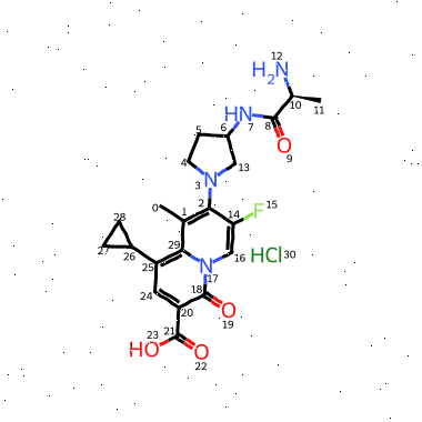 Cc1c(N2CCC(NC(=O)[C@H](C)N)C2)c(F)cn2c(=O)c(C(=O)O)cc(C3CC3)c12.Cl